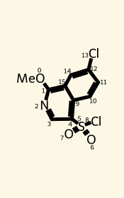 COc1ncc(S(=O)(=O)Cl)c2ccc(Cl)cc12